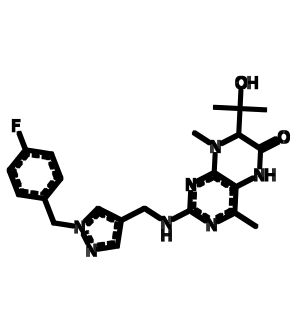 Cc1nc(NCc2cnn(Cc3ccc(F)cc3)c2)nc2c1NC(=O)C(C(C)(C)O)N2C